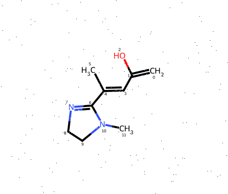 C=C(O)/C=C(\C)C1=NCCN1C